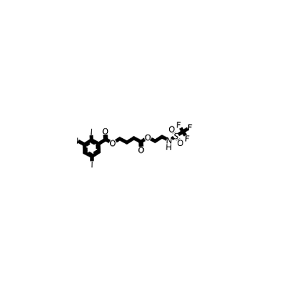 O=C(CCCOC(=O)c1cc(I)cc(I)c1I)OCCNS(=O)(=O)C(F)(F)F